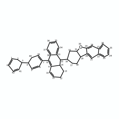 C1=CCC(C2C=CC(C3=C4C=CCCC4C(C4CCC5c6cc7ccccc7cc6OC5C4)c4ccccc43)=CC2)C=C1